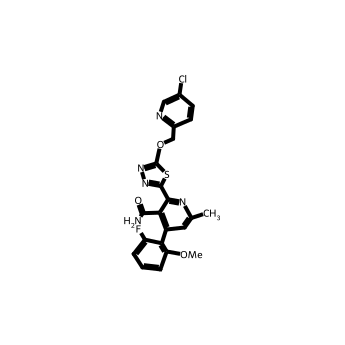 COc1cccc(F)c1-c1cc(C)nc(-c2nnc(OCc3ccc(Cl)cn3)s2)c1C(N)=O